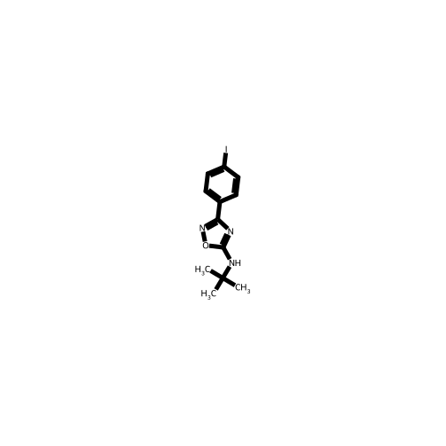 CC(C)(C)Nc1nc(-c2ccc(I)cc2)no1